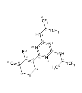 CC(Nc1nc(NC(C)C(F)(F)F)nc(C2=C(F)C(=O)CCC2)n1)C(F)(F)F